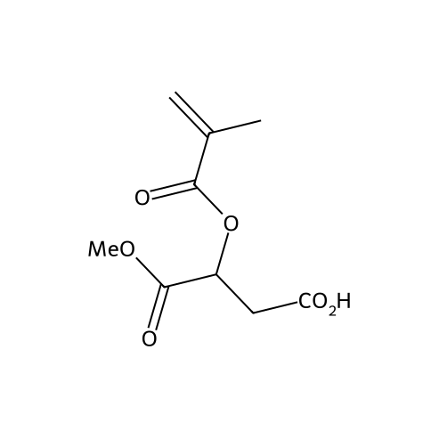 C=C(C)C(=O)OC(CC(=O)O)C(=O)OC